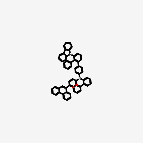 c1ccc(-c2ccccc2N(c2ccc(-c3cccc(-n4c5ccccc5c5ccccc54)c3-c3ccccc3)cc2)c2ccc(-c3cc4ccccc4c4ccccc34)cc2)cc1